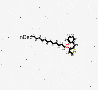 CCCCCCCCCCCCCCCCCCCCCCOc1ccsc1Cc1ccccc1